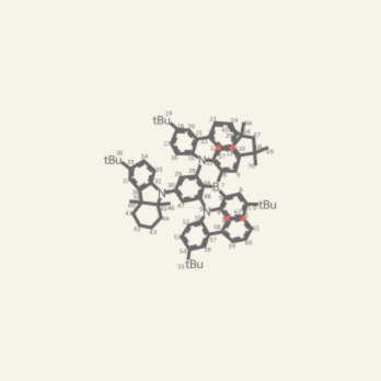 CC(C)(C)c1ccc2c(c1)B1c3cc4c(cc3N(c3ccc(C(C)(C)C)cc3-c3ccccc3)c3cc(N5c6ccc(C(C)(C)C)cc6C6(C)CCCCC56C)cc(c31)N2c1ccc(C(C)(C)C)cc1-c1ccccc1)C(C)(C)CC4(C)C